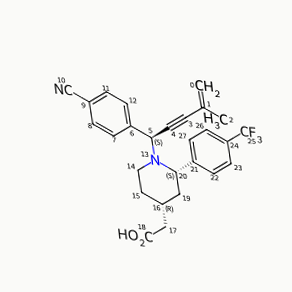 C=C(C)C#C[C@H](c1ccc(C#N)cc1)N1CC[C@@H](CC(=O)O)C[C@H]1c1ccc(C(F)(F)F)cc1